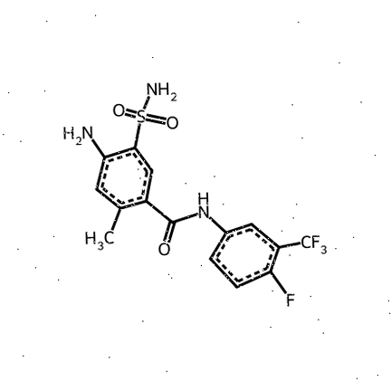 Cc1cc(N)c(S(N)(=O)=O)cc1C(=O)Nc1ccc(F)c(C(F)(F)F)c1